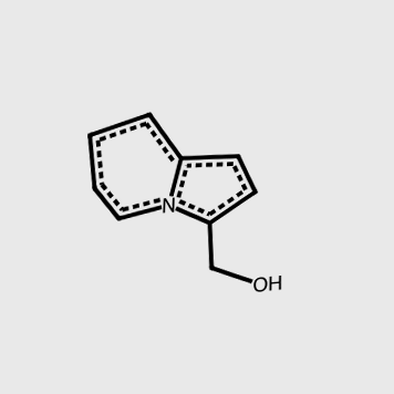 OCc1ccc2ccccn12